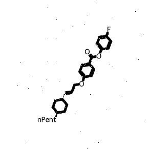 CCCCC[C@H]1CC[C@H](/C=C/COc2ccc(C(=O)Oc3ccc(F)cc3)cc2)CC1